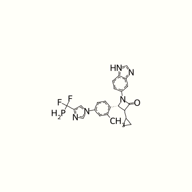 Cc1cc(-n2cnc(C(F)(F)P)c2)ccc1[C@H]1C(C2CC2)C(=O)N1c1ccc2[nH]cnc2c1